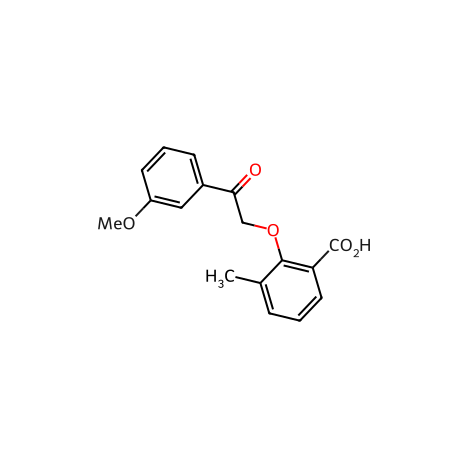 COc1cccc(C(=O)COc2c(C)cccc2C(=O)O)c1